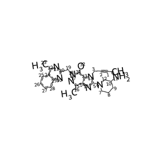 CC#CCn1c(N2CCCC(N)C2)nc2c(C)nn(Cc3nc(C)c4ccccc4n3)c(=O)c21